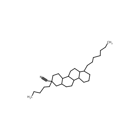 CCCCCCCC1CCCC2C1CCC1C3CCC(C#N)(CCCCC)CC3CCC21